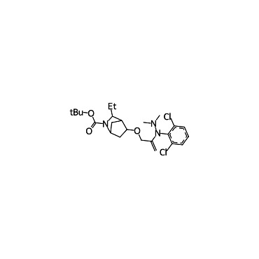 C=C(COC1CC2CC1C(CC)N2C(=O)OC(C)(C)C)N(c1c(Cl)cccc1Cl)N(C)C